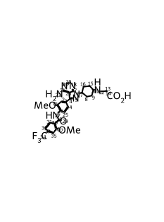 COc1cc(-c2nn(C3CCC(NCCC(=O)O)CC3)c3ncnc(N)c23)ccc1NC(=O)c1ccc(C(F)(F)F)cc1OC